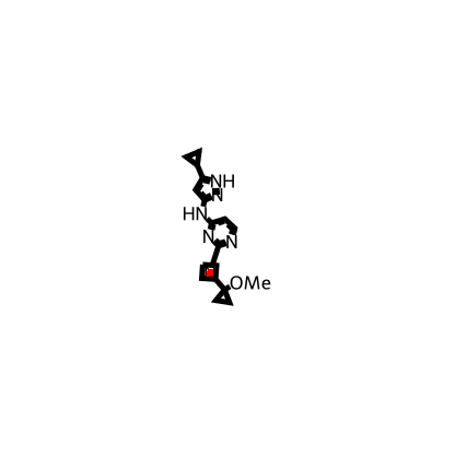 COC1(C23CC(C2)N(c2nccc(Nc4cc(C5CC5)[nH]n4)n2)C3)CC1